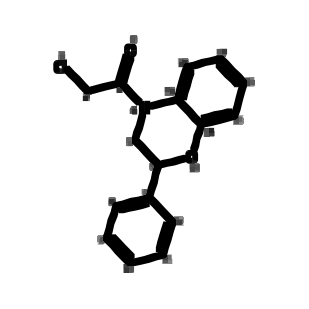 O=C(CCl)N1CC(c2ccccc2)Oc2ccccc21